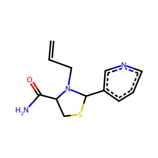 C=CCN1C(C(N)=O)CSC1c1cccnc1